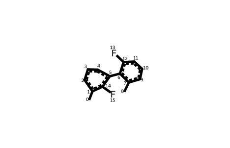 Cc1cccc(-c2c(C)cccc2F)c1F